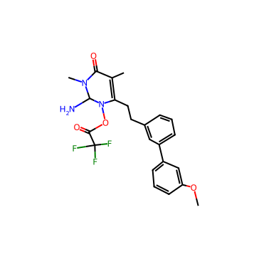 COc1cccc(-c2cccc(CCC3=C(C)C(=O)N(C)C(N)N3OC(=O)C(F)(F)F)c2)c1